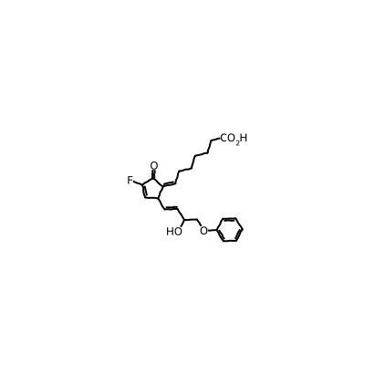 O=C(O)CCCCCC=C1C(=O)C(F)=CC1C=CC(O)COc1ccccc1